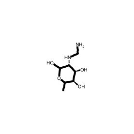 CC1OC(O)[C@H](NCN)[C@@H](O)[C@H]1O